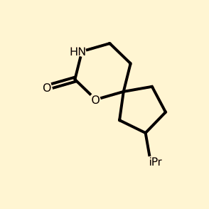 CC(C)C1CCC2(CCNC(=O)O2)C1